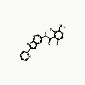 Nc1ccc(F)c(C(=O)Nc2cnc3[nH]c(-c4ccccn4)cc3c2)c1F